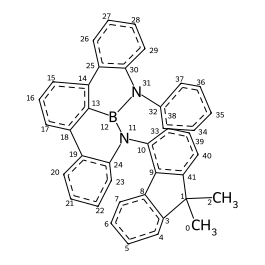 CC1(C)c2ccccc2-c2c(N3B4c5c(cccc5-c5ccccc53)-c3ccccc3N4c3ccccc3)cccc21